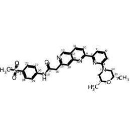 C[C@@H]1CN(c2cccc(-c3ccc4cnc(CC(=O)Nc5ccc(S(C)(=O)=O)cc5)cc4n3)n2)C[C@H](C)O1